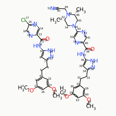 COc1cc(CCc2cc(NC(=O)c3cnc(Cl)cn3)[nH]n2)cc(OC)c1.COc1cc(CCc2cc(NC(=O)c3cnc(N4C[C@@H](C)N(CC#N)[C@@H](C)C4)cn3)[nH]n2)cc(OC)c1